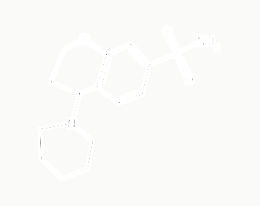 NS(=O)(=O)c1ccc2c(c1)OCCC2N1CCCCC1